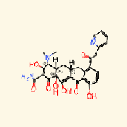 CN(C)[C@@H]1C(O)=C(C(N)=O)C(=O)[C@@]2(O)C(O)=C3C(=O)c4c(O)ccc(C(=O)Cc5ccccn5)c4C[C@H]3C[C@@H]12